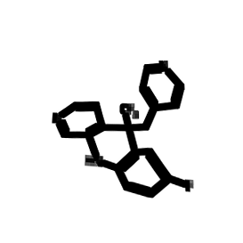 Fc1ccc2c(c1)C(Cc1ccncc1)(C(F)(F)F)c1ccncc1N2